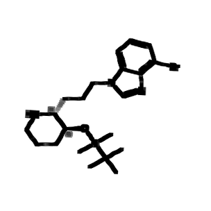 CC(C)(C)[Si](C)(C)O[C@H]1CCCN[C@@H]1CCCn1cnc2c(Br)cccc21